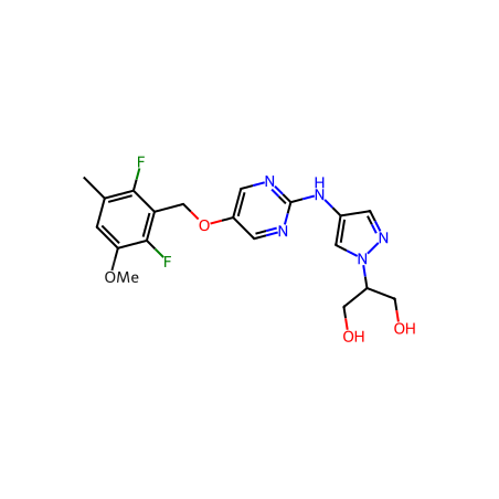 COc1cc(C)c(F)c(COc2cnc(Nc3cnn(C(CO)CO)c3)nc2)c1F